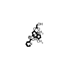 CC(C)C12C[C@@H](OC(=O)CO)[C@@](C)(O1)[C@@H]1CC[C@@H](C)[C@H]1[C@@H]2OC(=O)c1ccccn1